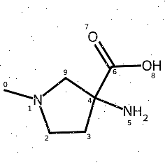 CN1CCC(N)(C(=O)O)C1